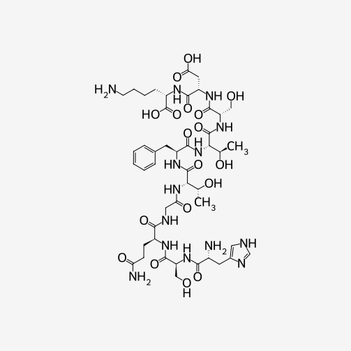 C[C@@H](O)[C@H](NC(=O)CNC(=O)[C@H](CCC(N)=O)NC(=O)[C@H](CO)NC(=O)[C@H](N)Cc1c[nH]cn1)C(=O)N[C@@H](Cc1ccccc1)C(=O)N[C@H](C(=O)N[C@@H](CO)C(=O)N[C@@H](CC(=O)O)C(=O)N[C@@H](CCCCN)C(=O)O)[C@@H](C)O